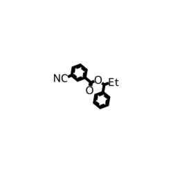 CCC(OC(=O)c1cccc(C#N)c1)c1ccccc1